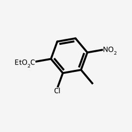 CCOC(=O)c1ccc([N+](=O)[O-])c(C)c1Cl